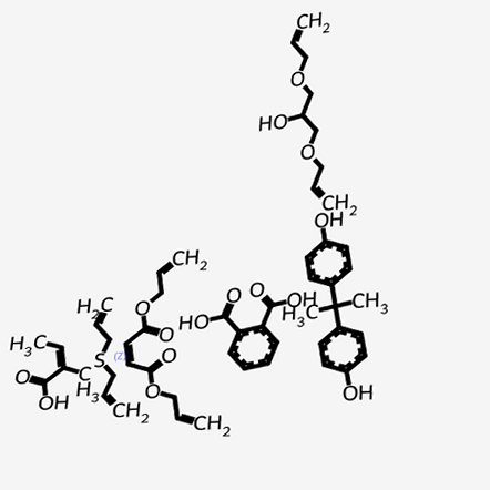 C=CCOC(=O)/C=C\C(=O)OCC=C.C=CCOCC(O)COCC=C.C=CCSCC=C.CC(C)(c1ccc(O)cc1)c1ccc(O)cc1.CC=C(C)C(=O)O.O=C(O)c1ccccc1C(=O)O